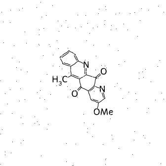 COc1cnc2c(c1)C(=O)c1c(nc3ccccc3c1C)C2=O